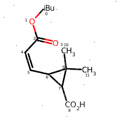 CCC(C)OC(=O)/C=C\C1C(C(=O)O)C1(C)C